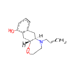 C=CCN1CCO[C@@H]2Cc3c(O)cccc3C[C@H]21